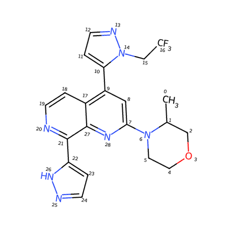 CC1COCCN1c1cc(-c2ccnn2CC(F)(F)F)c2ccnc(-c3ccn[nH]3)c2n1